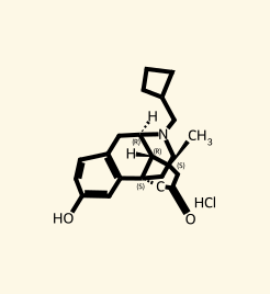 C[C@H]1CC(=O)C[C@]23CCN(CC4CCC4)[C@H](Cc4ccc(O)cc42)[C@H]13.Cl